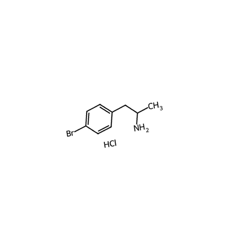 CC(N)Cc1ccc(Br)cc1.Cl